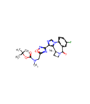 CN(Cc1nc(-c2ncn3c2[C@@H]2CCN2C(=O)c2cc(F)ccc2-3)no1)C(=O)OC(C)(C)C